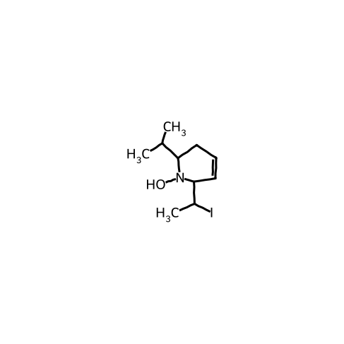 CC(C)C1CC=CC(C(C)I)N1O